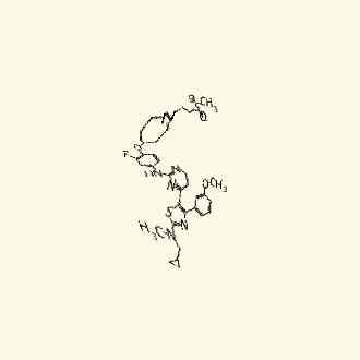 COc1cccc(-c2nc(N(C)CC3CC3)sc2-c2ccnc(Nc3ccc(OC4CCN(CCS(C)(=O)=O)CC4)c(F)c3)n2)c1